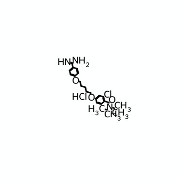 CC(C)N(C(=O)c1ccc(OCCCCCOc2ccc(C(=N)N)cc2)cc1Cl)C(C)C.Cl